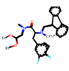 CCOC(CN(C)C(=O)C(Cc1ccc(F)c(F)c1)N(CC1c2ccccc2-c2ccccc21)C(=O)O)OCC